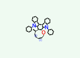 C=C1/C=C\C=C/COc2c1c1c(c3ccccc3n1-c1ccccc1)c1c3ccccc3n(-c3ccccc3)c21